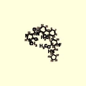 COc1cc(-c2cccc(-c3cccc(NC(=O)c4cncn(C)c4=O)c3C)c2C)cc(F)c1CNC1CCCC1